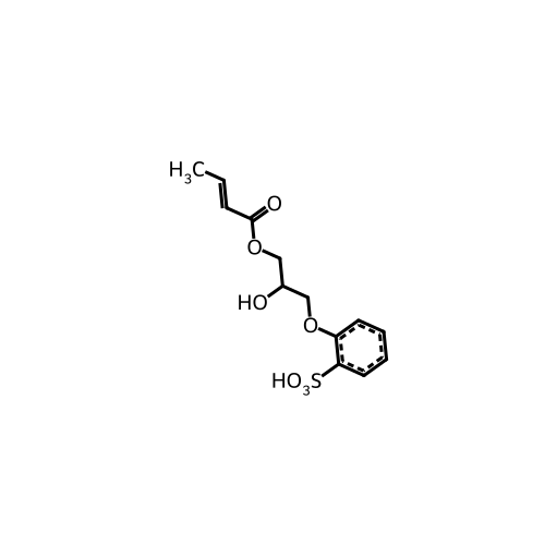 CC=CC(=O)OCC(O)COc1ccccc1S(=O)(=O)O